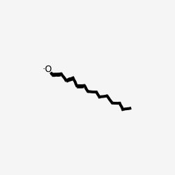 CCCCCCCCC=CC=CC=C[O]